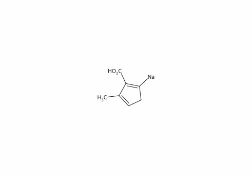 CC1=CC[C]([Na])=C1C(=O)O